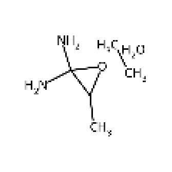 CC.CC1OC1(N)N.O